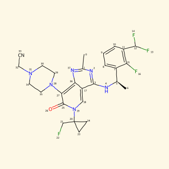 Cc1nc(N[C@H](C)c2cccc(C(F)F)c2F)c2cn(C3(CF)CC3)c(=O)c(N3CCN(CC#N)CC3)c2n1